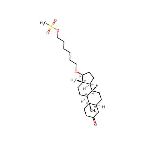 C[C@]12CCC(=O)C[C@@H]1CC[C@@H]1[C@@H]2CC[C@]2(C)[C@@H](OCCCCCCOS(C)(=O)=O)CC[C@@H]12